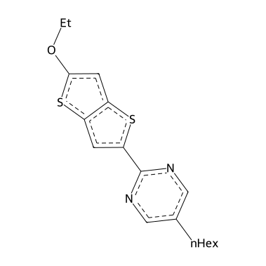 CCCCCCc1cnc(-c2cc3sc(OCC)cc3s2)nc1